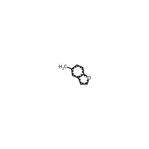 [CH2]c1ccc2occc2c1